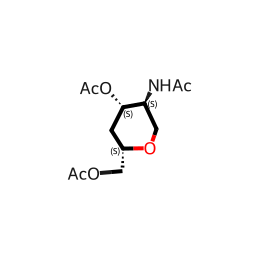 CC(=O)N[C@H]1CO[C@H](COC(C)=O)C[C@@H]1OC(C)=O